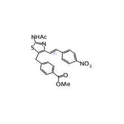 COC(=O)c1ccc(Cc2sc(NC(C)=O)nc2/C=C/c2ccc([N+](=O)[O-])cc2)cc1